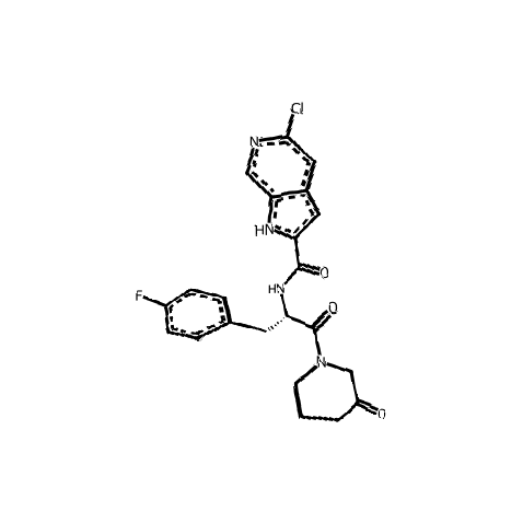 O=C1CCCN(C(=O)[C@H](Cc2ccc(F)cc2)NC(=O)c2cc3cc(Cl)ncc3[nH]2)C1